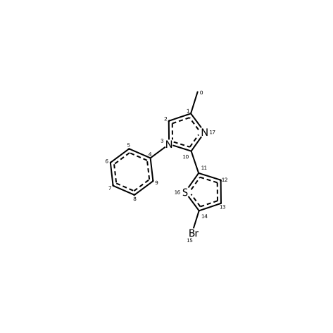 Cc1cn(-c2ccccc2)c(-c2ccc(Br)s2)n1